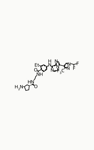 CCc1cc(Nc2nccn3c(-c4cn(CC(F)F)nc4C(F)(F)F)cnc23)ccc1C(=O)NCCNC(=O)[C@H]1CC[C@@H](N)C1